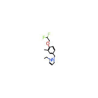 CCN1C=CCN1Cc1ccc(OCC(F)F)c(C)c1